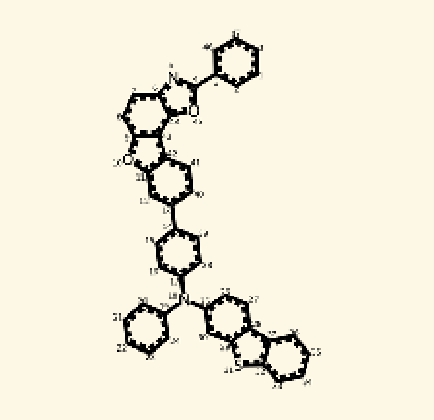 c1ccc(-c2nc3ccc4oc5cc(-c6ccc(N(c7ccccc7)c7ccc8c(c7)sc7ccccc78)cc6)ccc5c4c3o2)cc1